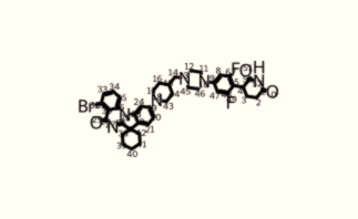 O=C1CCC(c2c(F)cc(N3CCN(CC4CCN(c5ccc6c(c5)-n5c(nc(=O)c7c(Br)cccc75)C65CCCCC5)CC4)CC3)cc2F)C(=O)N1